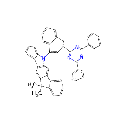 CC1(C)c2ccccc2-c2cc3c(cc21)c1ccccc1n3-c1cc(-c2nc(-c3ccccc3)nc(-c3ccccc3)n2)cc2ccccc12